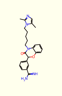 Cc1cnc(C)n1CCCCCN1C(=O)C(c2cccc(C(=N)N)c2)Oc2ccccc21